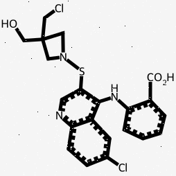 O=C(O)c1ccccc1Nc1c(SN2CC(CO)(CCl)C2)cnc2ccc(Cl)cc12